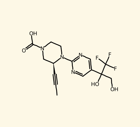 CC#C[C@H]1CN(C(=O)O)CCN1c1ncc(C(O)(CO)C(F)(F)F)cn1